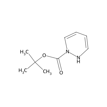 CC(C)(C)OC(=O)N1C=CC=CN1